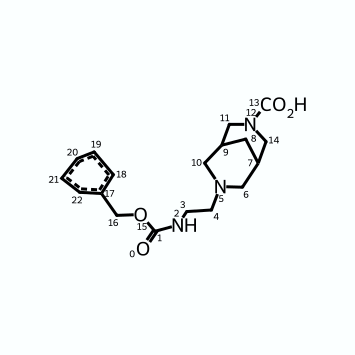 O=C(NCCN1CC2CC(C1)CN(C(=O)O)C2)OCc1ccccc1